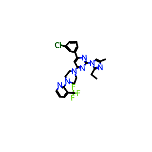 CCc1nc(C)cn1-c1nc(-c2cccc(Cl)c2)cc(N2CCN(c3ncccc3C(F)(F)F)CC2)n1